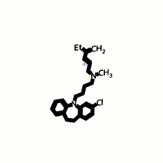 C=C(/C=C/CN(C)CCCCN1c2ccccc2CCc2ccc(Cl)cc21)CC